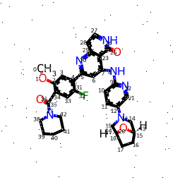 COc1cc(-c2cc(Nc3ccc(N4C[C@H]5CC[C@@H](C4)O5)cn3)c3c(=O)[nH]ccc3n2)c(F)cc1C(=O)N1CCCCC1